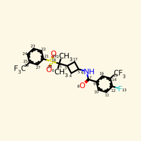 CC(C)(C1CC(NC(=O)c2ccc(F)c(C(F)(F)F)c2)C1)S(=O)(=O)c1cccc(C(F)(F)F)c1